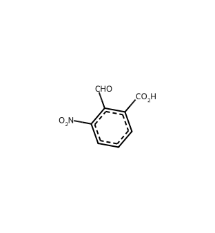 O=Cc1c(C(=O)O)cccc1[N+](=O)[O-]